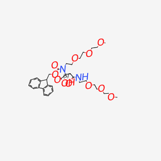 COCCOCCOCCNC(=O)C[C@@H](C(=O)O)N(CCOCCOCCOC)C(=O)OCC1c2ccccc2-c2ccccc21